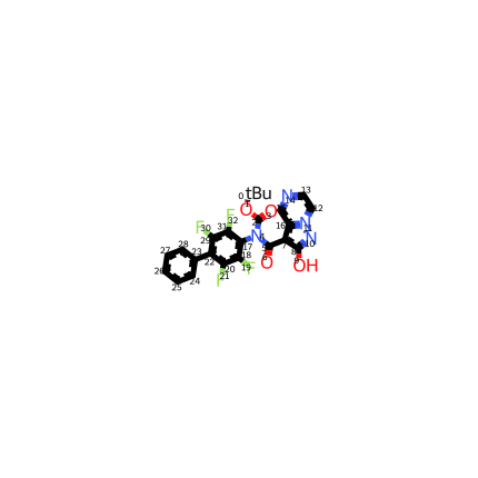 CC(C)(C)OC(=O)N(C(=O)c1c(O)nn2ccncc12)c1c(F)c(F)c(-c2ccccc2)c(F)c1F